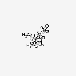 COc1ccc2c(c1)[C@@H](C(=O)O)[C@H](C1(C)CC(c3csc(CON4C(=O)c5ccccc5C4=O)n3)=C(Cl)C=C1Cl)N([C@H]1CCCC[C@@H]1N)C2=O